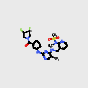 CN(c1ncccc1CNc1nc(Nc2cccc(C(=O)N3CC(F)[C@H](F)C3)c2)ncc1C(F)(F)F)S(C)(=O)=O